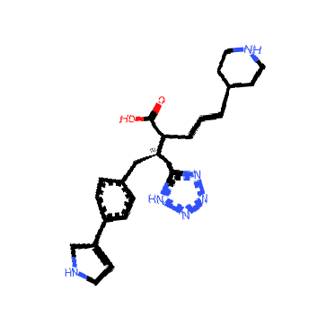 O=C(O)C(CCCC1CCNCC1)[C@H](Cc1ccc(C2=CCNC2)cc1)c1nnn[nH]1